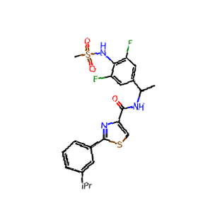 CC(C)c1cccc(-c2nc(C(=O)NC(C)c3cc(F)c(NS(C)(=O)=O)c(F)c3)cs2)c1